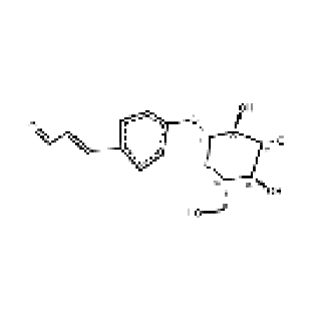 O=CC=Cc1ccc(O[C@H]2O[C@@H](CO)[C@H](O)[C@@H](O)[C@@H]2O)cc1